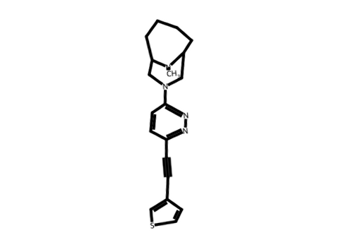 CN1C2CCCCC1CN(c1ccc(C#Cc3ccsc3)nn1)C2